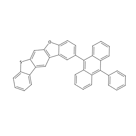 c1ccc(-c2c3ccccc3c(-c3ccc4oc5cc6sc7ccccc7c6cc5c4c3)c3ccccc23)cc1